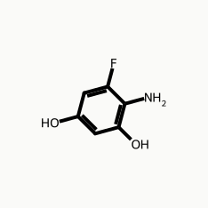 Nc1c(O)cc(O)cc1F